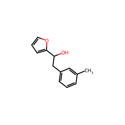 Cc1cccc(CC(O)c2ccco2)c1